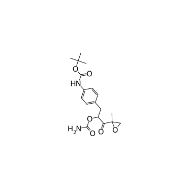 CC(C)(C)OC(=O)Nc1ccc(CC(OC(N)=O)C(=O)C2(C)CO2)cc1